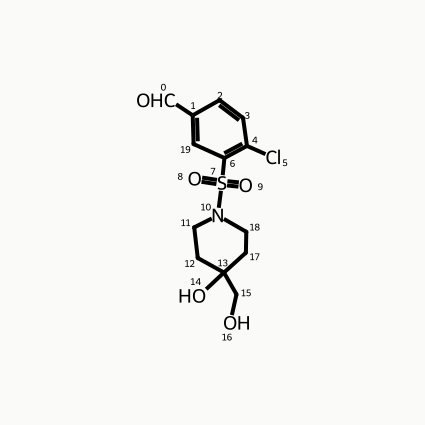 O=Cc1ccc(Cl)c(S(=O)(=O)N2CCC(O)(CO)CC2)c1